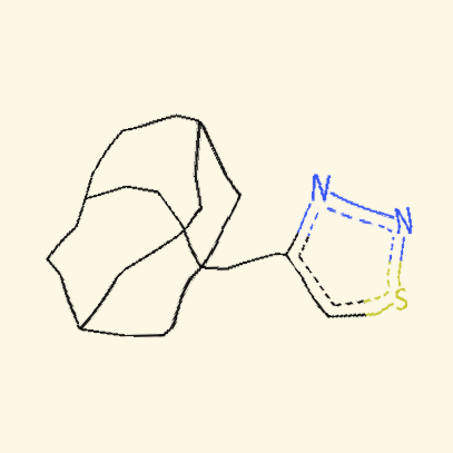 c1snnc1C12CC3CC(CC(C3)C1)C2